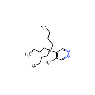 CCC[CH2][Sn]([CH2]CCC)([CH2]CCC)[c]1cnncc1C